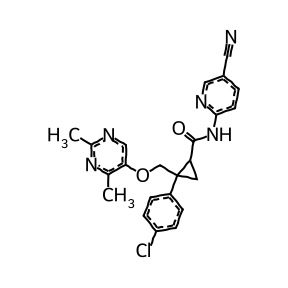 Cc1ncc(OCC2(c3ccc(Cl)cc3)CC2C(=O)Nc2ccc(C#N)cn2)c(C)n1